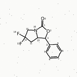 O=C1OC(c2ccccc2)C2CC(F)(F)CN12